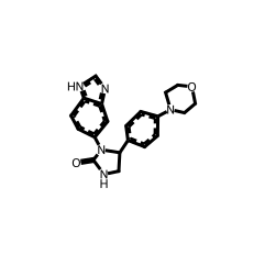 O=C1NCC(c2ccc(N3CCOCC3)cc2)N1c1ccc2[nH]cnc2c1